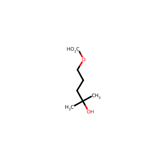 CC(C)(O)CCCOC(=O)O